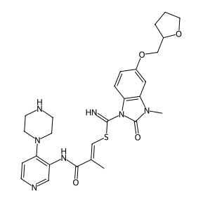 C/C(=C\SC(=N)n1c(=O)n(C)c2cc(OCC3CCCO3)ccc21)C(=O)Nc1cnccc1N1CCNCC1